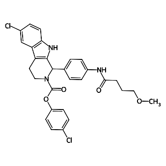 COCCCC(=O)Nc1ccc(C2c3[nH]c4ccc(Cl)cc4c3CCN2C(=O)Oc2ccc(Cl)cc2)cc1